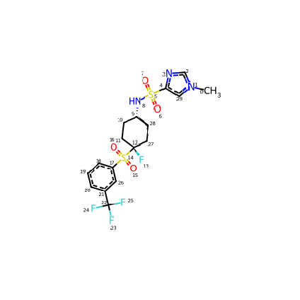 Cn1cnc(S(=O)(=O)N[C@H]2CC[C@@](F)(S(=O)(=O)c3cccc(C(F)(F)F)c3)CC2)c1